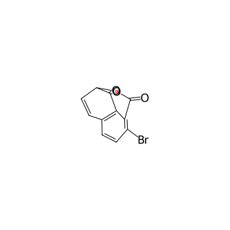 O=C1OC2C=Cc3ccc(Br)c1c3C2=O